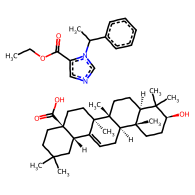 CC1(C)CC[C@]2(C(=O)O)CC[C@]3(C)C(=CC[C@@H]4[C@@]5(C)CC[C@H](O)C(C)(C)[C@@H]5CC[C@]43C)[C@@H]2C1.CCOC(=O)c1cncn1C(C)c1ccccc1